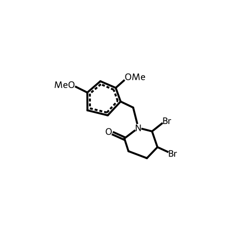 COc1ccc(CN2C(=O)CCC(Br)C2Br)c(OC)c1